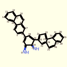 N=C1C=C(c2ccc3c(ccc4ccccc43)c2)C=C(c2ccc3c(ccc4ccccc43)c2)C1=N